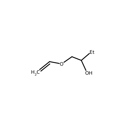 C=COCC(O)CC